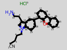 Cl.N#CCCCCn1cc(CCN)c2cc(-c3cccc4c3oc3ccccc34)ccc21